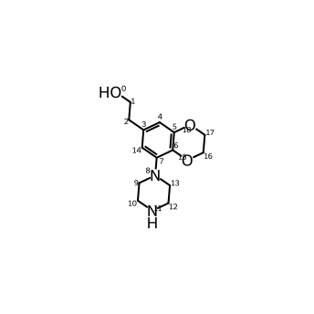 OCCc1cc2c(c(N3CCNCC3)c1)OCCO2